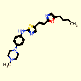 CCCCc1cnc(/C=C/c2cnc(Nc3ccc(N4CCN(C)CC4)cc3)s2)o1